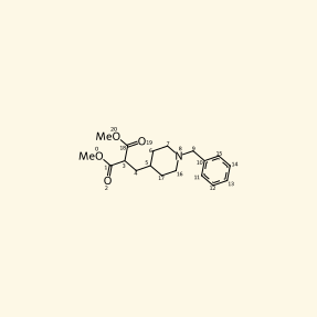 COC(=O)C(CC1CCN(Cc2ccccc2)CC1)C(=O)OC